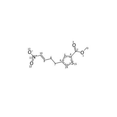 COC(=O)c1cc(CCC=C[N+](=O)[O-])cs1